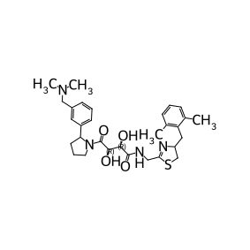 Cc1cccc(C)c1CC1CSC(CNC(=O)[C@H](O)[C@@H](O)C(=O)N2CCCC2c2cccc(CN(C)C)c2)=N1